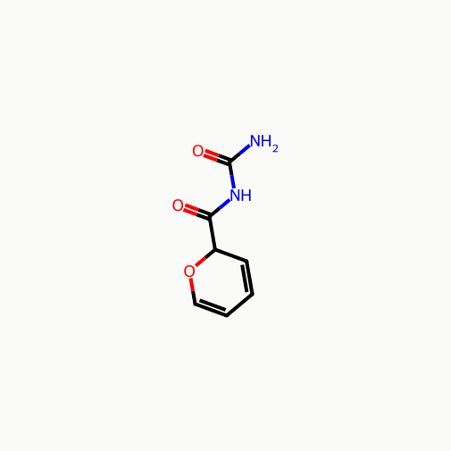 NC(=O)NC(=O)C1C=CC=CO1